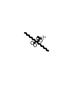 CCCCCCCCC(C(=O)[O-])=C(CCCCCCCC)C(=O)[O-].[CH3][Sn+2][CH3]